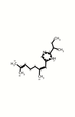 CCC(C)c1ncc(C=C(C)CCC=C(C)C)[nH]1